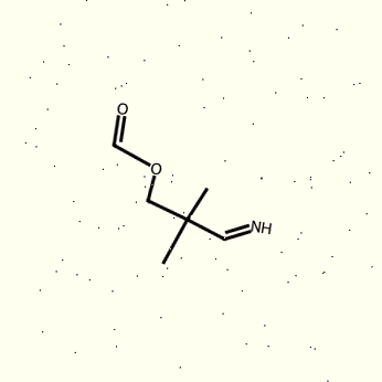 CC(C)(C=N)COC=O